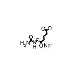 NC(=O)NOC(=O)CCCC(=O)[O-].[Na+]